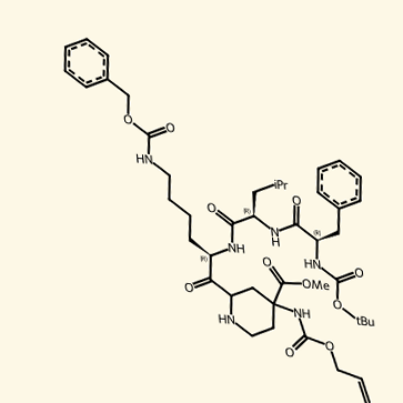 C=CCOC(=O)NC1(C(=O)OC)CCNC(C(=O)[C@@H](CCCCNC(=O)OCc2ccccc2)NC(=O)[C@@H](CC(C)C)NC(=O)[C@@H](Cc2ccccc2)NC(=O)OC(C)(C)C)C1